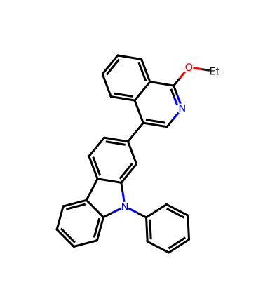 CCOc1ncc(-c2ccc3c4ccccc4n(-c4ccccc4)c3c2)c2ccccc12